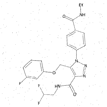 CCNC(=O)c1ccc(-n2nnc(C(=O)NCC(F)F)c2COc2cccc(F)c2)cc1